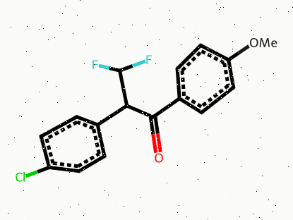 COc1ccc(C(=O)C(c2ccc(Cl)cc2)C(F)F)cc1